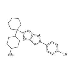 CCCCC1CCC(C2(c3cc4sc(-c5ccc(C#N)cc5)cc4s3)CCCCC2)CC1